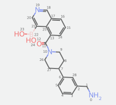 NCc1cccc(C2CCN(C(=O)c3cccc4cncc(B(O)O)c34)CC2)c1